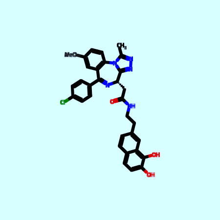 COc1ccc2c(c1)C(c1ccc(Cl)cc1)=N[C@@H](CC(=O)NCCc1ccc3ccc(O)c(O)c3c1)c1nnc(C)n1-2